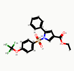 CCOC(=O)c1cc(-c2ccccc2)n(S(=O)(=O)c2ccc(OC(F)(F)F)cc2)c1